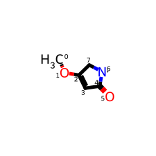 COC1=CC(=O)[N]C1